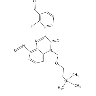 C[Si](C)(C)CCOCn1c(=O)c(-c2cccc(C=O)c2F)nc2c(N=O)cccc21